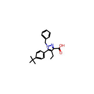 CCc1c(C(=O)O)nn(Cc2ccccc2)c1-c1ccc(C(C)(C)C)cc1